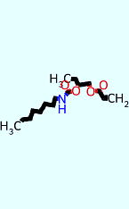 C=CC(=O)OCC(CC)OC(=O)NCCCCCCCC